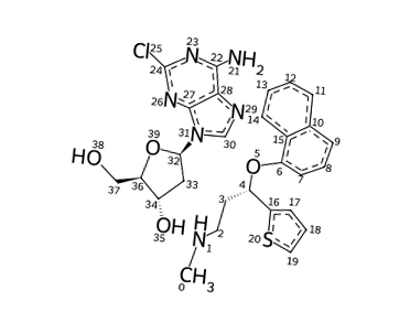 CNCC[C@H](Oc1cccc2ccccc12)c1cccs1.Nc1nc(Cl)nc2c1ncn2[C@H]1C[C@H](O)[C@@H](CO)O1